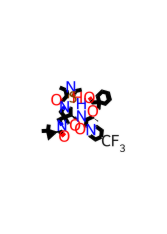 Cc1nc(C)c(C(=O)N2C[C@@H](C(=O)N[C@H](C(=O)N3CCC(C(F)(F)F)CC3)[C@@H](C)OCC3(CO)CC=CCC3)C3(C2)CN(C(=O)[C@H]2CC2(C)C)C3)s1